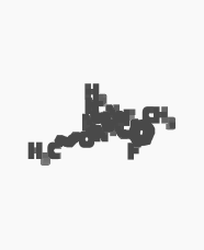 CCCCOc1nc(N)c2ncn(Cc3c(F)ccc(C)c3F)c2n1